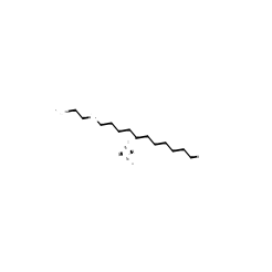 CCCCCCCCCCCCNC[CH2][Na].O=S(=O)(O)O